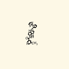 Cc1cncc(C(=O)N[C@H]2CC[C@@H]3[C@H]2CCN3Cc2cccn2-c2nccs2)c1